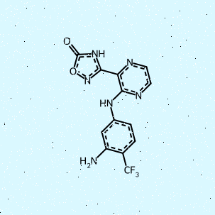 Nc1cc(Nc2nccnc2-c2noc(=O)[nH]2)ccc1C(F)(F)F